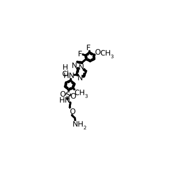 COc1ccc(-c2cnc3c(Nc4ccc(S(=O)(=O)NCCOCCN)c(C)c4)nccn23)c(F)c1F.Cl